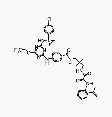 C=C(C)c1ccccc1NC(=O)C(=O)NCC(C)(C)CNC(=O)c1ccc(Nc2nc(NC3(c4ccc(Cl)cc4)CC3)nc(OCC(F)(F)F)n2)cc1